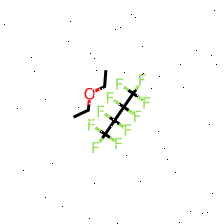 CCOCC.FC(F)(F)C(F)(F)C(F)(F)C(F)(F)F